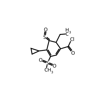 CCC1C(C(=O)Cl)=CC(S(C)(=O)=O)=C(C2CC2)C1=S=O